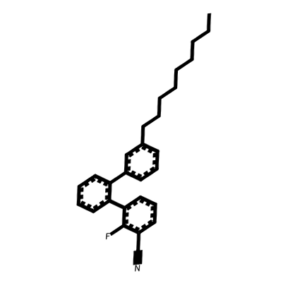 CCCCCCCCCc1cccc(-c2ccccc2-c2cccc(C#N)c2F)c1